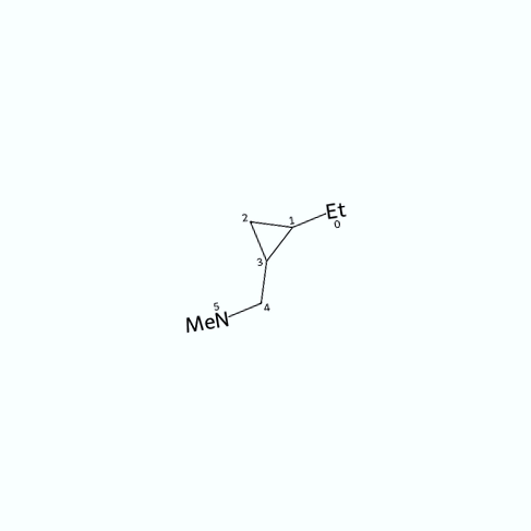 CCC1CC1CNC